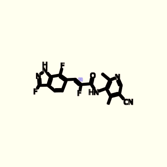 Cc1ncc(C#N)c(C)c1NC(=O)/C(F)=C/c1ccc2c(F)n[nH]c2c1F